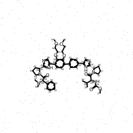 COCCOc1c(-c2ccc(-c3cnc([C@@H]4CCCN4C(=O)[C@@H](NC(=O)OC)C(C)C)[nH]3)cc2)ccc(-c2cnc([C@@H]3CCCN3C(=O)[C@@H](c3ccccc3)N(C)C)[nH]2)c1OCCOC